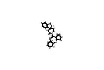 c1ccc2c(c1)COC21CCN(C2=Nc3ccccc3Oc3ccccc32)CC1